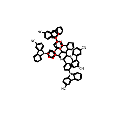 N#Cc1ccc2c(c1)c1ccccc1n2-c1ccc(-c2nc(-c3ccc(-n4c5ccccc5c5cc(C#N)ccc54)cc3)c(-n3c4ccc(C#N)cc4c4cc(C#N)ccc43)c(-c3ccccc3-c3nc(-c4ccccc4)nc(-c4ccccc4)n3)c2-c2ccc(-n3c4ccccc4c4cc(C#N)ccc43)cc2)cc1